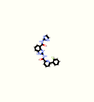 O=C(Nc1nc2c(C(=O)Nc3ncc[nH]3)cccc2[nH]1)c1cccc(-c2ccccc2F)n1